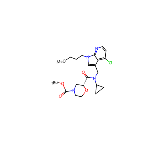 COCCCn1cc(CN(C(=O)[C@H]2CN(C(=O)OC(C)(C)C)CCO2)C2CC2)c2c(Cl)ccnc21